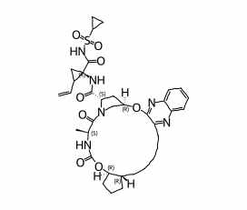 C=CC1C[C@]1(NC(=O)[C@@H]1C[C@@H]2CN1C(=O)[C@H](C)NC(=O)O[C@@H]1CCC[C@H]1CCCCCc1nc3ccccc3nc1O2)C(=O)NS(=O)(=O)C1CC1